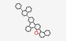 c1ccc(-c2ccc(-c3ccc4c(c3)c3ccccc3c3c4ccc4c3oc3ccc5ccccc5c34)c3ccccc23)cc1